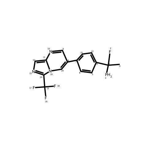 CC(F)(P)c1ccc(-c2cnc3cnc(C(F)(F)F)n3c2)cc1